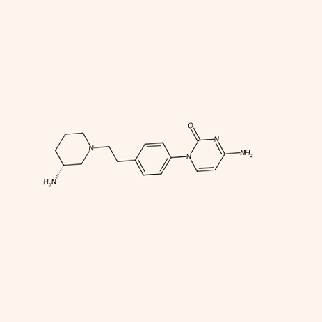 Nc1ccn(-c2ccc(CCN3CCC[C@@H](N)C3)cc2)c(=O)n1